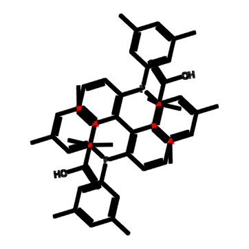 Cc1cc(C)cc(P(c2cc(C)cc(C)c2)c2cccc(C(C)(C)C(=O)O)c2-c2c(P(c3cc(C)cc(C)c3)c3cc(C)cc(C)c3)cccc2C(C)(C)C(=O)O)c1